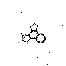 C[C@@H]1c2c(c3c(c4ccccc24)[C@H](C)[C@H](C)N3C)C[C@@H]1C